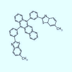 CC1=CC2SC(c3cccc(-c4c5ccccc5c(-c5cccc(-c6nc7ccc(C)cc7s6)c5)c5cc6ccccc6cc45)c3)=NC2C=C1